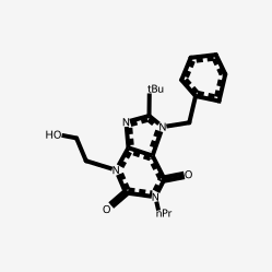 CCCn1c(=O)c2c(nc(C(C)(C)C)n2Cc2ccccc2)n(CCO)c1=O